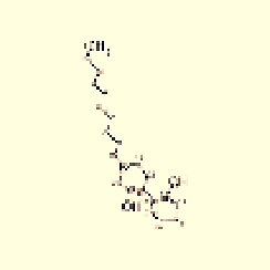 CCCCCCCCCCN1CCC(c2ccccc2O)C(O)C1